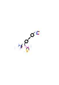 O=c1[nH]cnc(C[C@@H](CN[C@H]2CCS(=O)(=O)C2)c2ccc(C#Cc3ccc(CN4CCOCC4)cc3)cc2)c1O